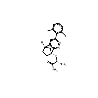 C[C@@H](O[C@]12CC[C@H](C1)c1cc(-c3c(F)cccc3F)nnc12)C(N)=O